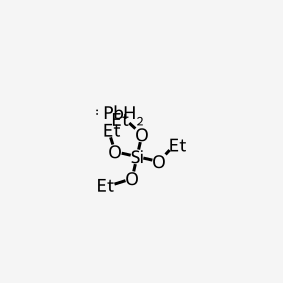 CCO[Si](OCC)(OCC)OCC.[PbH2]